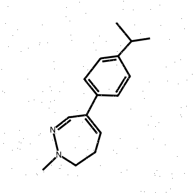 CC(C)c1ccc(C2=CCCN(C)N=C2)cc1